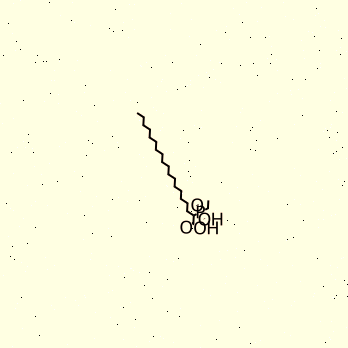 CCCCCCCCCCCCCCCCCC(C(=O)O)P(=O)(O)CC